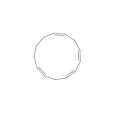 [CH]1C=CCC=CC=CCC=CCC1